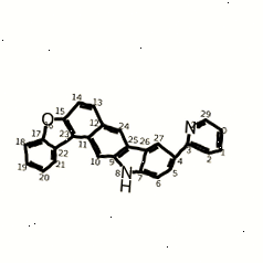 c1ccc(-c2ccc3[nH]c4cc5c(ccc6oc7ccccc7c65)cc4c3c2)nc1